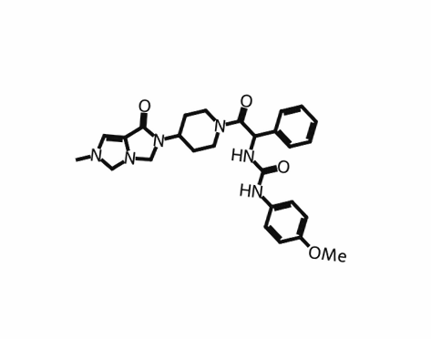 COc1ccc(NC(=O)NC(C(=O)N2CCC(N3CN4CN(C)C=C4C3=O)CC2)c2ccccc2)cc1